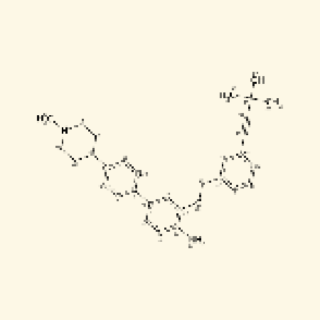 CN1CCC(c2ccc(-c3cnc(N)c(OCc4cccc(C#CC(C)(C)O)c4)c3)nc2)CC1